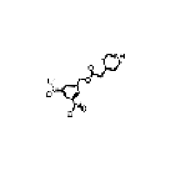 O=C(CC1CCNCC1)OCc1cc([N+](=O)[O-])cc([N+](=O)[O-])c1